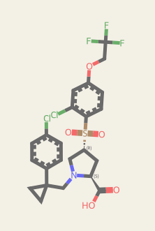 O=C(O)[C@@H]1C[C@@H](S(=O)(=O)c2ccc(OCC(F)(F)F)cc2Cl)CN1CC1(c2ccc(Cl)cc2)CC1